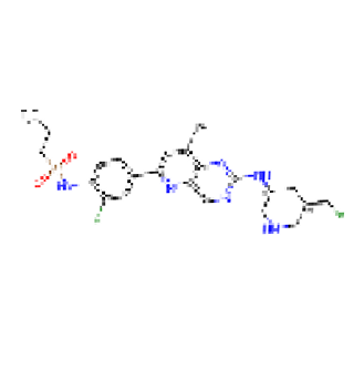 CC(C)c1cc(-c2ccc(NS(=O)(=O)CCC(F)(F)F)c(F)c2)nc2cnc(N[C@@H]3CNC[C@H](CF)C3)nc12